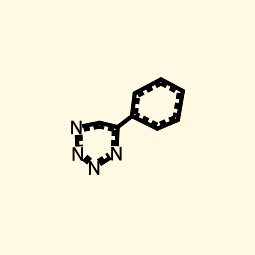 c1ccc(-c2cnnnn2)cc1